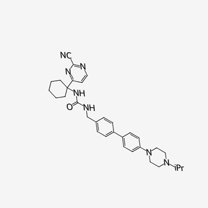 CC(C)N1CCN(c2ccc(-c3ccc(CNC(=O)NC4(c5ccnc(C#N)n5)CCCCC4)cc3)cc2)CC1